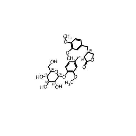 COc1ccc(C[C@H]2COC(=O)[C@@H]2Cc2ccc(O[C@@H]3O[C@H](CO)[C@@H](O)[C@H](O)[C@H]3O)c(OC)c2)cc1OC